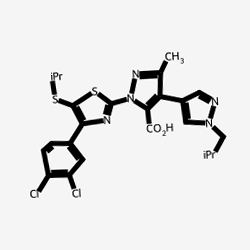 Cc1nn(-c2nc(-c3ccc(Cl)c(Cl)c3)c(SC(C)C)s2)c(C(=O)O)c1-c1cnn(CC(C)C)c1